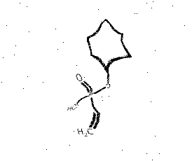 C=CP(=O)(O)OC1CCCCC1